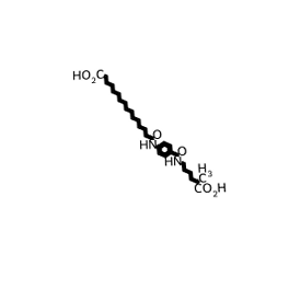 C[C@@H](CCCCNC(=O)c1ccc(NC(=O)CCCCCCCCCCCCCCC(=O)O)cc1)C(=O)O